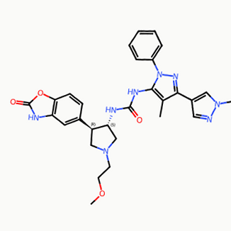 COCCN1C[C@@H](NC(=O)Nc2c(C)c(-c3cnn(C)c3)nn2-c2ccccc2)[C@H](c2ccc3oc(=O)[nH]c3c2)C1